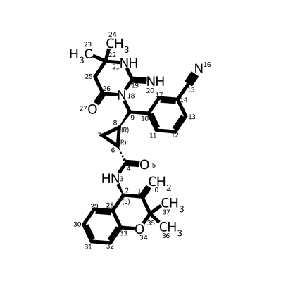 C=C1[C@H](NC(=O)[C@@H]2C[C@H]2C(c2cccc(C#N)c2)N2C(=N)NC(C)(C)CC2=O)c2ccccc2OC1(C)C